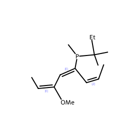 C\C=C/C(=C\C(=C/C)OC)P(C)C(C)(C)CC